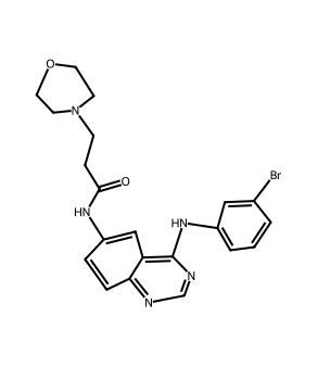 O=C(CCN1CCOCC1)Nc1ccc2ncnc(Nc3cccc(Br)c3)c2c1